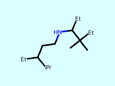 CCC(CCNC(CC)C(C)(C)CC)C(C)C